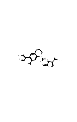 CNC(=O)c1c[nH]c2cnc(N3CCCc4cc(-c5cnn(C)c5)c(C(F)F)cc43)nc12